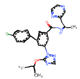 CC(C)Oc1ncnn1-c1cc(C(=O)NC(C)c2cnccn2)cc(-c2ccc(Cl)cc2)c1